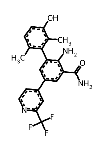 Cc1ccc(O)c(C)c1-c1cc(-c2ccnc(C(F)(F)F)c2)cc(C(N)=O)c1N